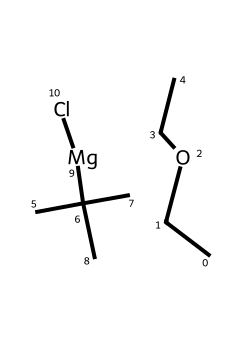 CCOCC.C[C](C)(C)[Mg][Cl]